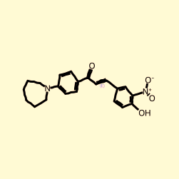 O=C(/C=C/c1ccc(O)c([N+](=O)[O-])c1)c1ccc(N2CCCCCC2)cc1